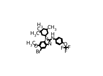 COc1cc2c(cc1Br)nc(Nc1ccc(OC(F)(F)F)cc1)n2C1CC(C)CC(C)(C)C1